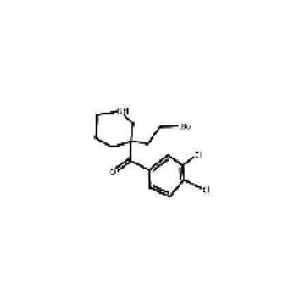 CC(C)(C)CC[C@@]1(C(=O)c2ccc(Cl)c(Cl)c2)CCCNC1